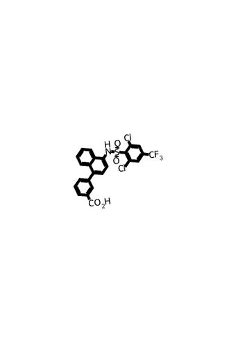 O=C(O)c1cccc(-c2ccc(NS(=O)(=O)c3c(Cl)cc(C(F)(F)F)cc3Cl)c3ccccc23)c1